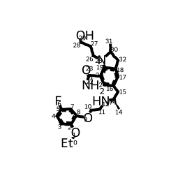 CCOc1ccc(F)cc1OCCN[C@H](C)Cc1cc2c(c(C(N)=O)c1)N(CCCO)C(C)C2